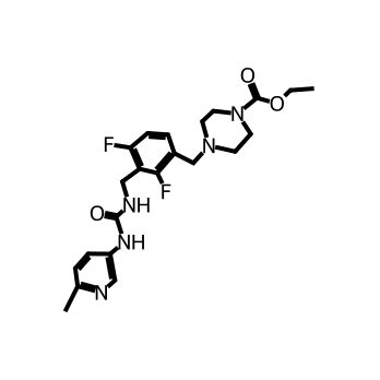 CCOC(=O)N1CCN(Cc2ccc(F)c(CNC(=O)Nc3ccc(C)nc3)c2F)CC1